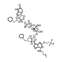 CSCCNc1nc(SCCC(F)(F)F)nc2c1ncn2[C@@H]1O[C@H](COP(=O)(O)OP(=O)(O)OP(=O)(O)OP(=O)(O)OC[C@H]2O[C@@H](n3ccc(=O)[nH]c3=O)[C@@H]3OC(Cc4ccccc4)O[C@@H]32)[C@H]2CC(Cc3ccccc3)C[C@H]21